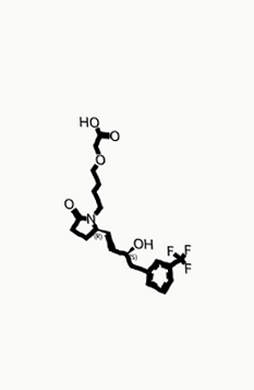 O=C(O)COCCCCN1C(=O)CC[C@@H]1C=C[C@@H](O)Cc1cccc(C(F)(F)F)c1